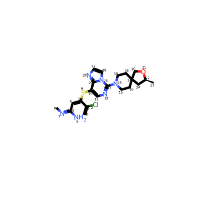 C=C(Cl)/C(=C\C(N)=N/C)Sc1cnc(N2CCC3(CC2)CO[C@@H](C)C3)n2ccnc12